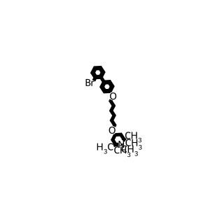 CN1C(C)(C)CC(OCCCCCCOc2ccc(-c3ccccc3Br)cc2)CC1(C)C